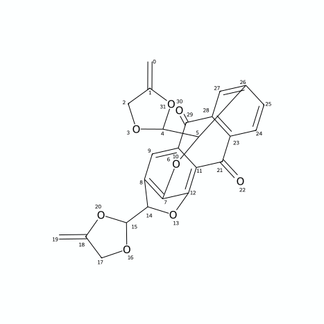 C=C1COC(C2Oc3c4cc5c(c3OC4C3OCC(=C)O3)C(=O)c3ccc2cc3C5=O)O1